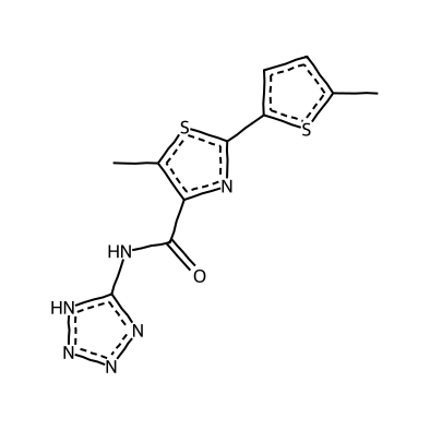 Cc1ccc(-c2nc(C(=O)Nc3nnn[nH]3)c(C)s2)s1